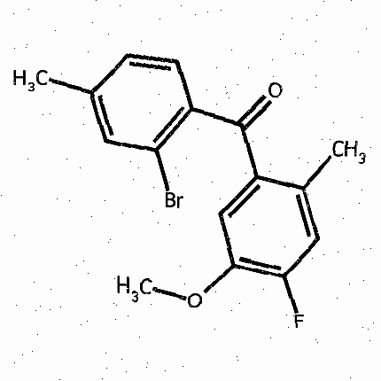 COc1cc(C(=O)c2ccc(C)cc2Br)c(C)cc1F